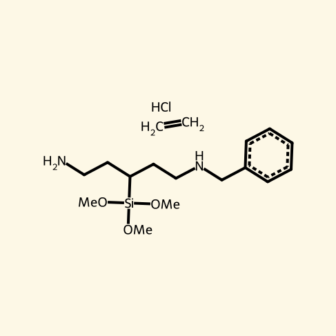 C=C.CO[Si](OC)(OC)C(CCN)CCNCc1ccccc1.Cl